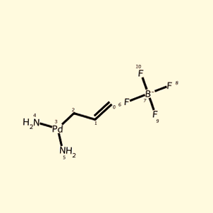 C=C[CH2][Pd]([NH2])[NH2].F[B-](F)(F)F